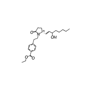 CCCCCC(O)C=C[C@H]1CCC(=O)N1CCc1ccc(C(=O)OCC)cc1